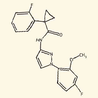 COc1cc(F)ccc1-n1ccc(NC(=O)C2(c3ccccc3F)CC2)n1